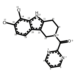 O=C(c1ncccn1)N1CCc2[nH]c3c(Cl)c(Cl)ccc3c2C1